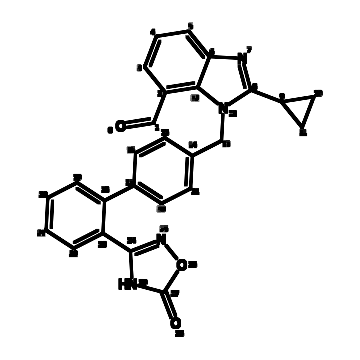 O=Cc1cccc2nc(C3CC3)n(Cc3ccc(-c4ccccc4-c4noc(=O)[nH]4)cc3)c12